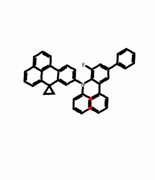 Fc1cc(-c2ccccc2)cc(-c2ccccc2)c1N(c1ccccc1)c1ccc2c(c1)C1(CC1)c1cccc3cccc-2c13